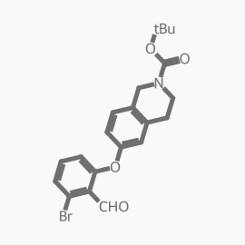 CC(C)(C)OC(=O)N1CCc2cc(Oc3cccc(Br)c3C=O)ccc2C1